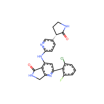 O=C1NCc2nc(-c3c(F)cccc3Cl)cc(Nc3ccc([C@@H]4CCNC4=O)cn3)c21